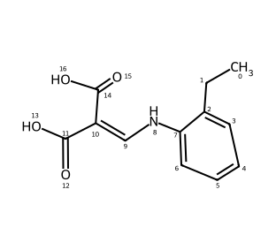 CCc1ccccc1NC=C(C(=O)O)C(=O)O